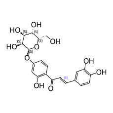 O=C(/C=C/c1ccc(O)c(O)c1)c1ccc(O[C@@H]2O[C@@H](CO)[C@@H](O)[C@H](O)[C@@H]2O)cc1O